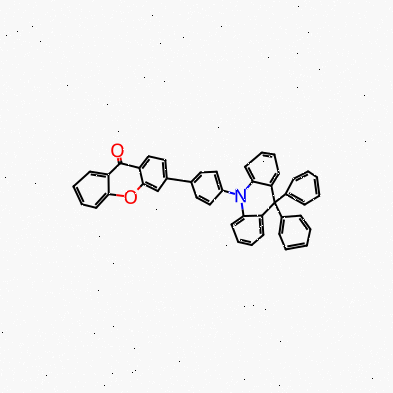 O=c1c2ccccc2oc2cc(-c3ccc(N4c5ccccc5C(c5ccccc5)(c5ccccc5)c5ccccc54)cc3)ccc12